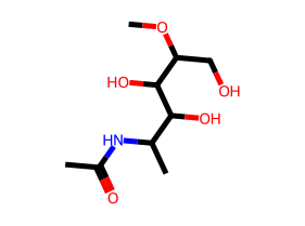 COC(CO)C(O)C(O)C(C)NC(C)=O